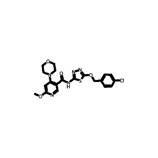 COc1cc(N2CCOCC2)c(C(=O)Nc2nnc(OCc3ccc(Cl)cc3)s2)cn1